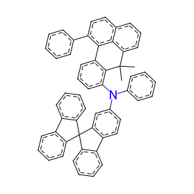 CC1(C)c2c(cccc2N(c2ccccc2)c2ccc3c(c2)C2(c4ccccc4-c4ccccc42)c2ccccc2-3)-c2c(-c3ccccc3)ccc3cccc1c23